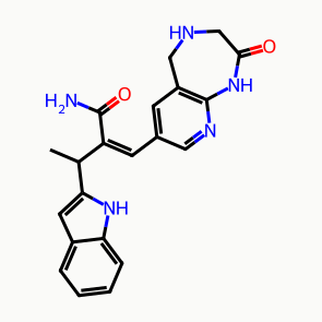 CC(C(=Cc1cnc2c(c1)CNCC(=O)N2)C(N)=O)c1cc2ccccc2[nH]1